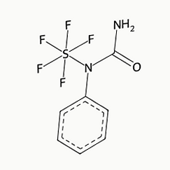 NC(=O)N(c1ccccc1)S(F)(F)(F)(F)F